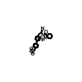 CS(=O)(=O)Cc1ccc(-c2ccc(C[C@@H](C#N)NC(=O)C3(N)CCCCC3)cc2)cc1